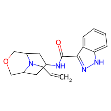 C=CCN1C2COCC1CC(NC(=O)c1n[nH]c3ccccc13)C2